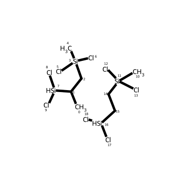 CC(C[Si](C)(Cl)Cl)[SiH](Cl)Cl.C[Si](Cl)(Cl)CC[SiH](Cl)Cl